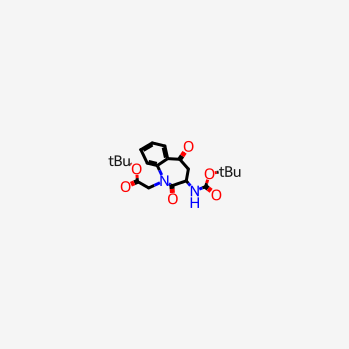 CC(C)(C)OC(=O)CN1C(=O)C(NC(=O)OC(C)(C)C)CC(=O)c2ccccc21